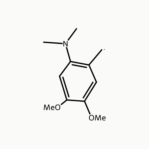 [CH2]c1cc(OC)c(OC)cc1N(C)C